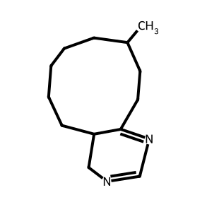 CC1CCCCCC2CN=CN=C2CC1